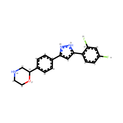 Fc1ccc(-c2cc(-c3ccc(C4CNCCO4)cc3)n[nH]2)c(F)c1